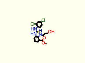 COC(=O)c1cccc(NC(=S)Nc2ccc(Cl)cc2Cl)c1NCCCO